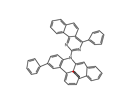 c1ccc(-c2ccc(N(c3ccc4ccccc4c3)c3nc(-c4ccccc4)c4ccc5ccccc5c4n3)c(-c3ccccc3)c2)cc1